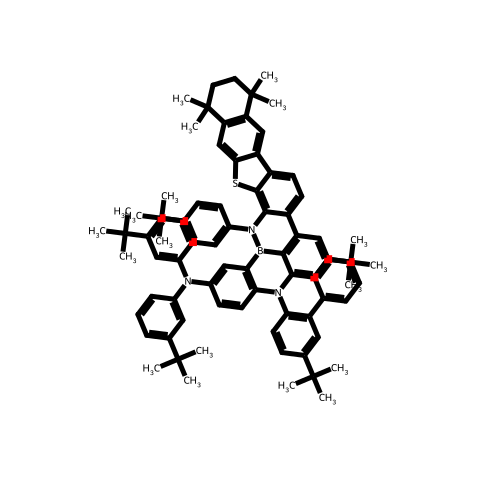 CC(C)(C)c1ccc(N2B3c4cc(N(c5cccc(C(C)(C)C)c5)c5cccc(C(C)(C)C)c5)ccc4N(c4ccc(C(C)(C)C)cc4-c4ccccc4)c4cc(C(C)(C)C)cc(c43)-c3ccc4c(sc5cc6c(cc54)C(C)(C)CCC6(C)C)c32)cc1